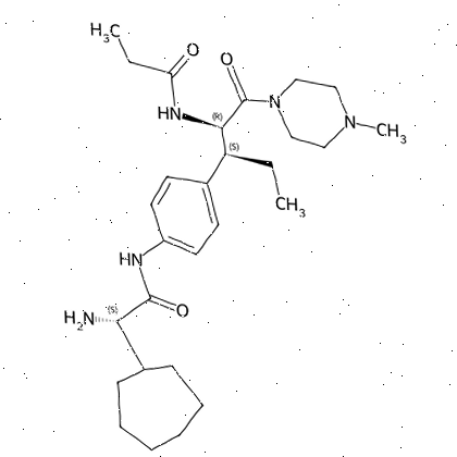 CCC(=O)N[C@@H](C(=O)N1CCN(C)CC1)[C@@H](CC)c1ccc(NC(=O)[C@@H](N)C2CCCCCC2)cc1